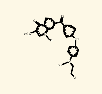 CCCN(CCCl)c1ccc(Nc2ccc(C(=O)c3ccc4c(=O)c(C(=O)O)cn(C(C)C)c4c3)cc2)cc1